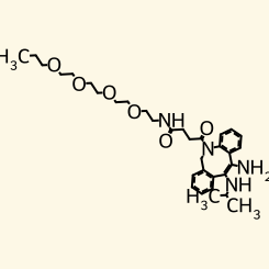 CCCOCCOCCOCCOCCNC(=O)CCC(=O)N1Cc2ccccc2/C(NC(C)C)=C(/N)c2ccccc21